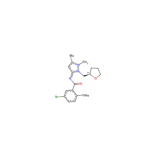 COc1ccc(Br)cc1C(=O)N=c1cc(C(C)(C)C)n(C)n1C[C@H]1CCCO1